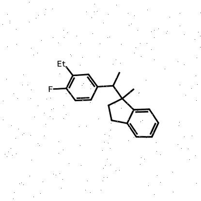 CCc1cc(C(C)C2(C)CCc3ccccc32)ccc1F